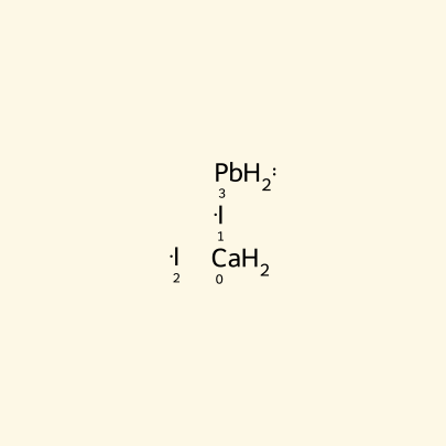 [CaH2].[I].[I].[PbH2]